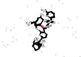 Cc1cc(C)c(Oc2nc(C3=CC4CCC3(C)C4(C)C)ccc2C(=O)NS(=O)(=O)c2cccc(N)n2)c(C)c1